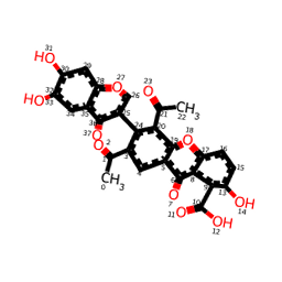 CC(=O)c1cc2c(=O)c3c(C(=O)O)c(O)ccc3oc2c(C(C)=O)c1-c1coc2cc(O)c(O)cc2c1=O